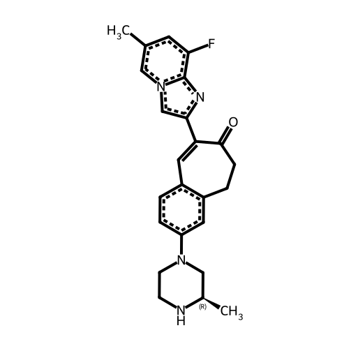 Cc1cc(F)c2nc(C3=Cc4ccc(N5CCN[C@H](C)C5)cc4CCC3=O)cn2c1